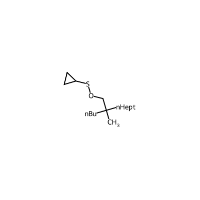 CCCCCCCC(C)(CCCC)COSC1CC1